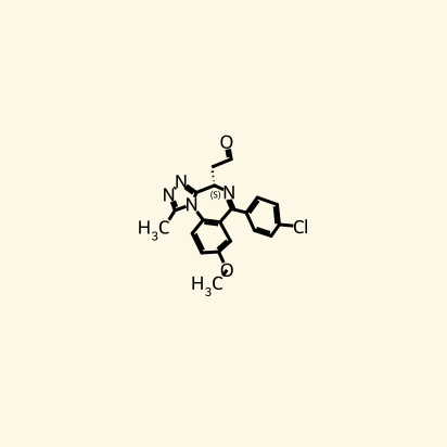 COc1ccc2c(c1)C(c1ccc(Cl)cc1)=N[C@@H](CC=O)c1nnc(C)n1-2